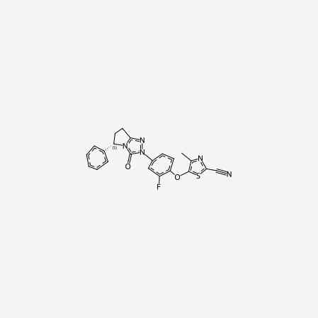 Cc1nc(C#N)sc1Oc1ccc(-n2nc3n(c2=O)[C@H](c2ccccc2)CC3)cc1F